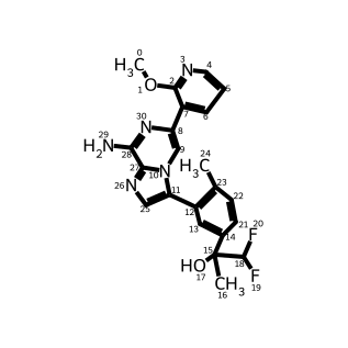 COc1ncccc1-c1cn2c(-c3cc(C(C)(O)C(F)F)ccc3C)cnc2c(N)n1